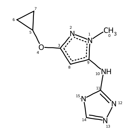 Cn1nc(OC2CC2)cc1NC1=NN=C[N]1